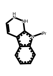 CC(C)n1c2c(c3ccccc31)C=CNN2